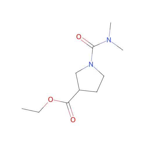 CCOC(=O)C1CCN(C(=O)N(C)C)C1